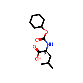 CC(C)C[C@H](NC(=O)OC1CCCCC1)C(=O)O